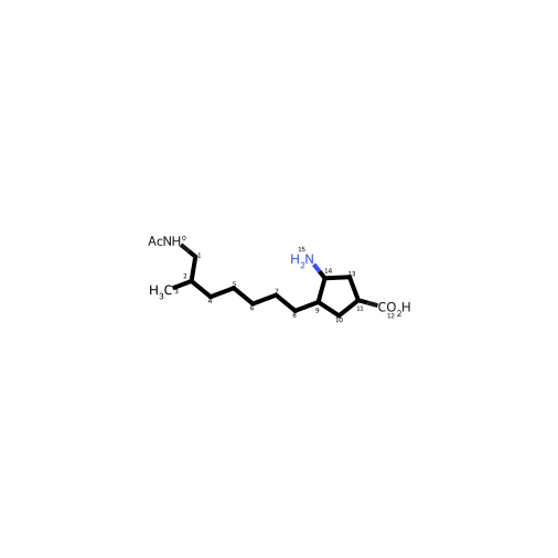 CC(=O)NCC(C)CCCCCC1CC(C(=O)O)CC1N